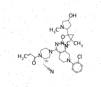 C=CC(=O)N1CCN(c2nc(OC3(C4CC(O)CN4C)CC3(C)C)nc3c2CCN(c2ccccc2Cl)C3)C[C@@H]1CC#N